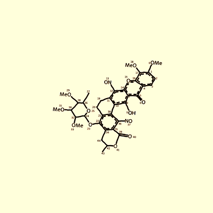 COc1ccc2c(=O)c3c(O)c4c(c(N=O)c3oc2c1OC)CCc1c(OC2OC(C)C(OC)C(OC)C2OC)c2c(c(N=O)c1-4)C(=O)OC(C)C2